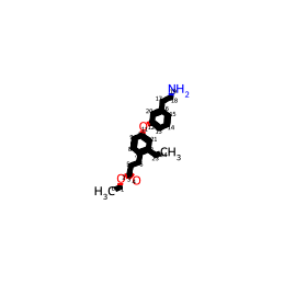 CCOC(=O)CCc1ccc(Oc2cccc(CCN)c2)cc1CC